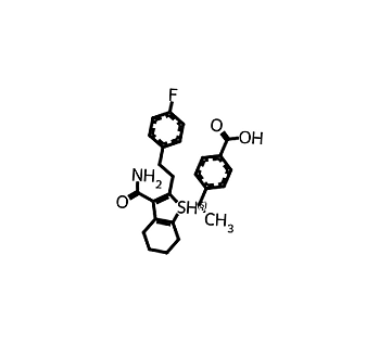 C[C@@H](c1ccc(C(=O)O)cc1)[SH]1C2=C(CCCC2)C(C(N)=O)=C1CCc1ccc(F)cc1